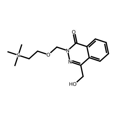 C[Si](C)(C)CCOCn1nc(CO)c2ccccc2c1=O